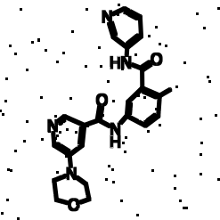 Cc1ccc(NC(=O)c2cncc(N3CCOCC3)c2)cc1C(=O)Nc1cccnc1